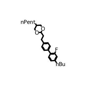 CCCCCC1COC(CCc2ccc(-c3ccc(CCCC)cc3F)cc2)OC1